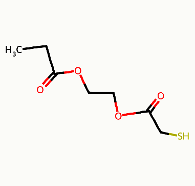 CCC(=O)OCCOC(=O)CS